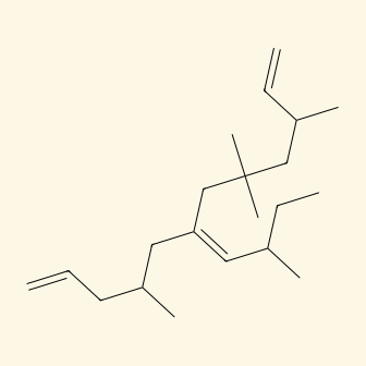 C=CCC(C)CC(=CC(C)CC)CC(C)(C)CC(C)C=C